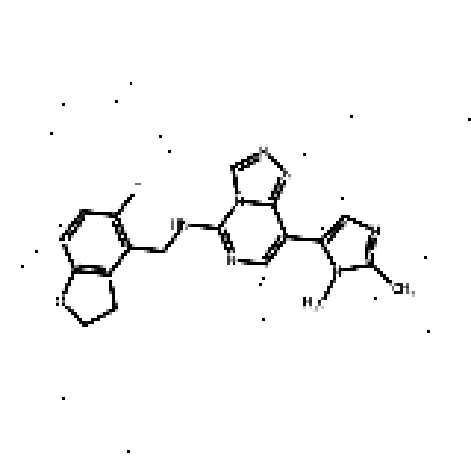 Cc1ncc(-c2cnc(NCc3c(F)ccc4c3CCO4)n3cnnc23)n1C